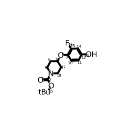 CC(C)(C)OC(=O)N1CCC(Oc2ccc(O)cc2F)CC1